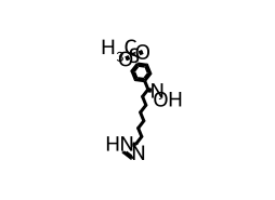 CS(=O)(=O)c1ccc(C(CCCCCCc2ncc[nH]2)=NO)cc1